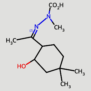 C/C(=N/N(C)C(=O)O)C1CCC(C)(C)CC1O